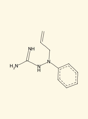 C=CCN(NC(=N)N)c1ccccc1